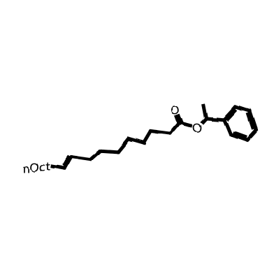 CCCCCCCC/C=C/CCCCCCCC(=O)OC(C)c1ccccc1